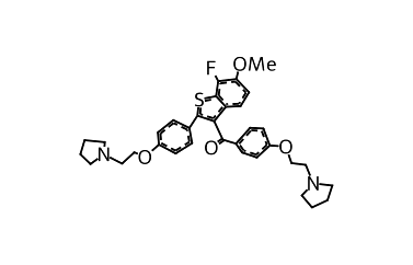 COc1ccc2c(C(=O)c3ccc(OCCN4CCCC4)cc3)c(-c3ccc(OCCN4CCCC4)cc3)sc2c1F